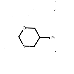 CCCC1C[N]COC1